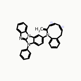 C=C1/C=C\C=C/Cc2ccccc2N1c1ccc2c(c1)n1c3ccccc3nc1n2-c1ccccc1